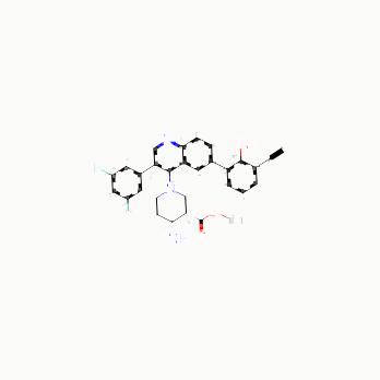 C#Cc1cccc(-c2ccc3ncc(-c4cc(F)cc(F)c4)c(N4CC[C@@H](N)[C@H](C(=O)OC(C)C)C4)c3c2)c1O